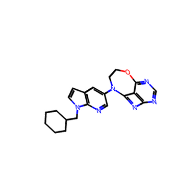 c1nc2c3c(n1)OCCN(c1cnc4c(ccn4CC4CCCCC4)c1)C3=N2